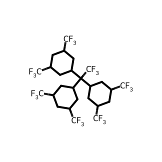 FC(F)(F)C1CC(C(F)(F)F)CC(C(C2CC(C(F)(F)F)CC(C(F)(F)F)C2)(C2CC(C(F)(F)F)CC(C(F)(F)F)C2)C(F)(F)F)C1